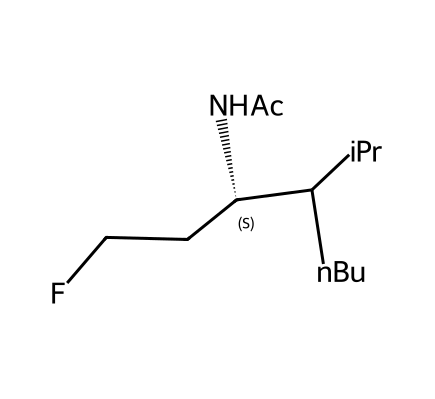 CCCCC(C(C)C)[C@H](CCF)NC(C)=O